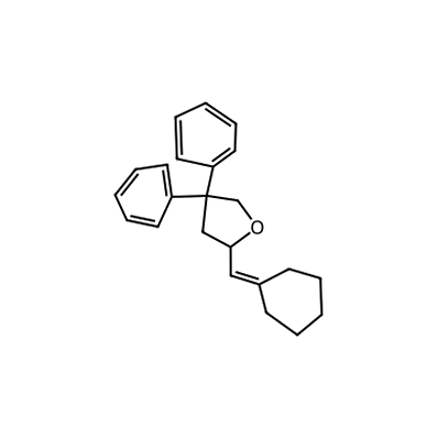 C(=C1CCCCC1)C1CC(c2ccccc2)(c2ccccc2)CO1